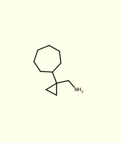 NCC1(C2CCCCCC2)CC1